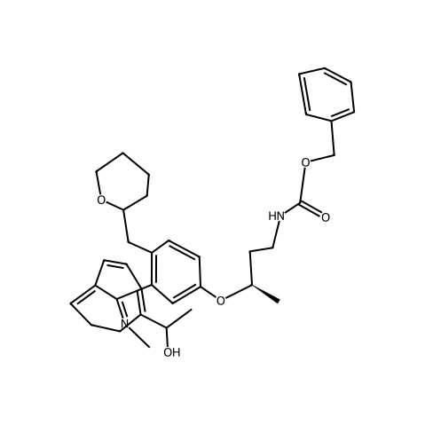 C/N=C(C1=C\CC\C(C(C)O)=C/C=C\1)\c1cc(O[C@H](C)CCNC(=O)OCc2ccccc2)ccc1CC1CCCCO1